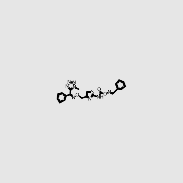 Cn1nnnc1C(=NOCc1csc(NC(=O)ON=Cc2ccccc2)n1)c1ccccc1